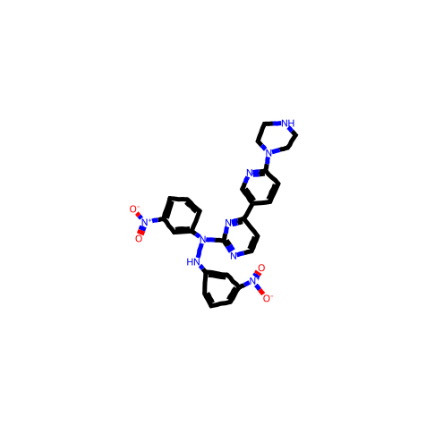 O=[N+]([O-])c1cccc(NN(c2cccc([N+](=O)[O-])c2)c2nccc(-c3ccc(N4CCNCC4)nc3)n2)c1